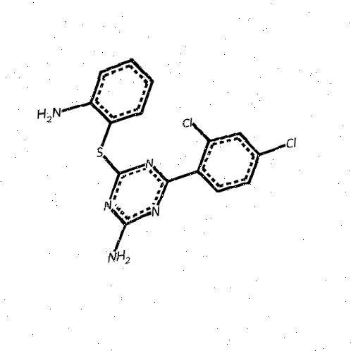 Nc1nc(Sc2ccccc2N)nc(-c2ccc(Cl)cc2Cl)n1